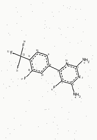 Nc1nc(N)c(F)c(-c2ccc(C(F)(F)F)c(F)c2)n1